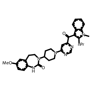 CCCc1c(C(=O)c2cc(N3CCC(N4CCc5cc(OC)ccc5NC4=O)CC3)ncn2)c2ccccc2n1C